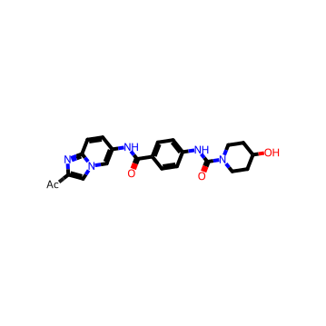 CC(=O)c1cn2cc(NC(=O)c3ccc(NC(=O)N4CCC(O)CC4)cc3)ccc2n1